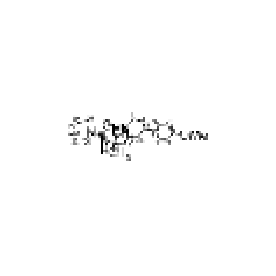 COc1ccc(C2CCN[C@H](CC(C)(C)NC(=O)N3CCOCC3)C2)cc1